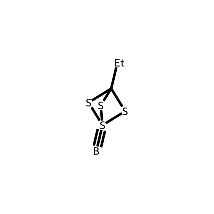 B#S12SC(CC)(S1)S2